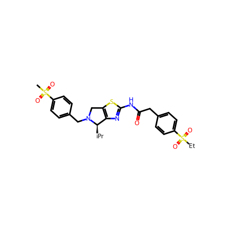 CCS(=O)(=O)c1ccc(CC(=O)Nc2nc3c(s2)CN(Cc2ccc(S(C)(=O)=O)cc2)[C@@H]3C(C)C)cc1